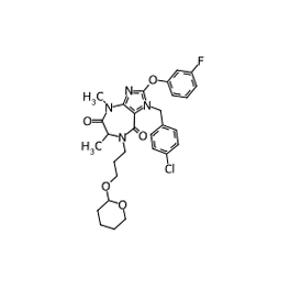 CC1C(=O)N(C)c2nc(Oc3cccc(F)c3)n(Cc3ccc(Cl)cc3)c2C(=O)N1CCCOC1CCCCO1